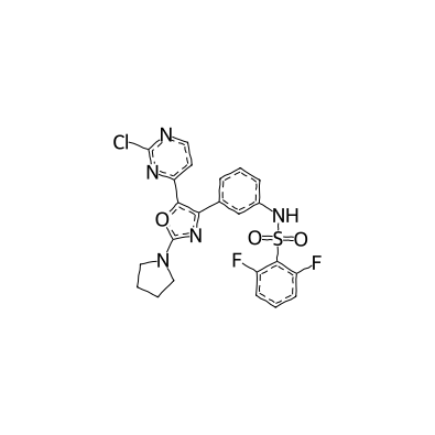 O=S(=O)(Nc1cccc(-c2nc(N3CCCC3)oc2-c2ccnc(Cl)n2)c1)c1c(F)cccc1F